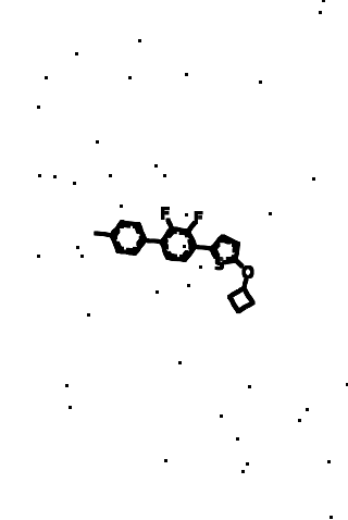 Cc1ccc(-c2ccc(-c3ccc(OC4CCC4)s3)c(F)c2F)cc1